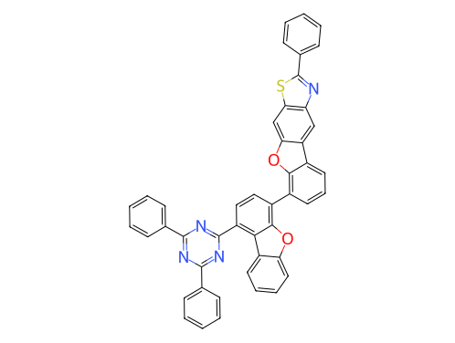 c1ccc(-c2nc(-c3ccccc3)nc(-c3ccc(-c4cccc5c4oc4cc6sc(-c7ccccc7)nc6cc45)c4oc5ccccc5c34)n2)cc1